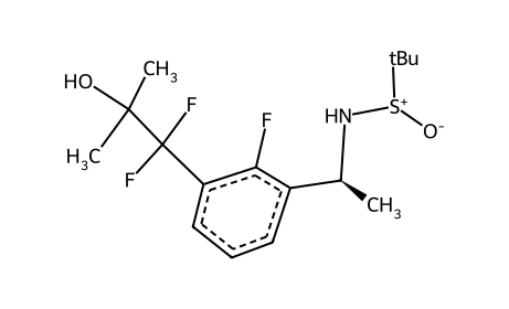 C[C@H](N[S+]([O-])C(C)(C)C)c1cccc(C(F)(F)C(C)(C)O)c1F